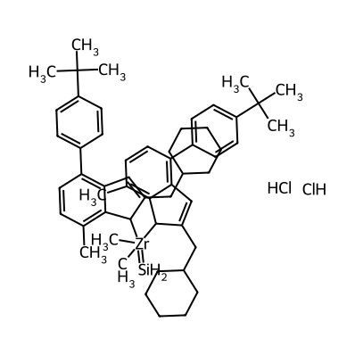 Cc1ccc(-c2ccc(C(C)(C)C)cc2)c2c1[CH]([Zr]([CH3])([CH3])(=[SiH2])[CH]1C(CC3CCCCC3)=Cc3c(-c4ccc(C(C)(C)C)cc4)ccc(C)c31)C(CC1CCCCC1)=C2.Cl.Cl